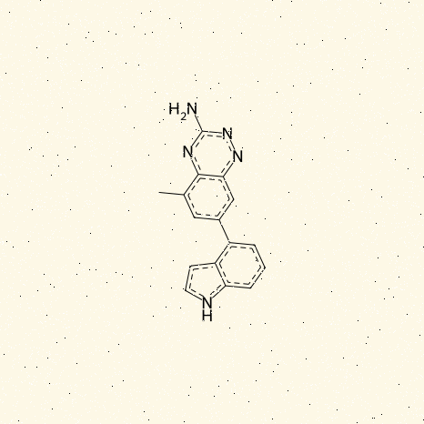 Cc1cc(-c2cccc3[nH]ccc23)cc2nnc(N)nc12